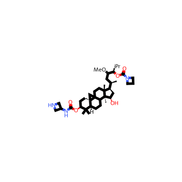 COC(C[C@@H](C)[C@H]1C[C@H](O)[C@@]2(C)C3CC[C@H]4C(C)(C)[C@@H](OC(=O)NC5CNC5)CC[C@@]45CC35CC[C@]12C)[C@H](OC(=O)N1CCC1)C(C)C